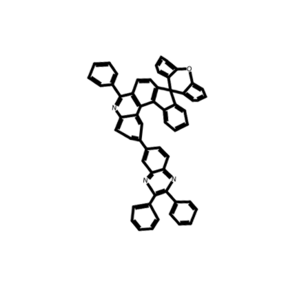 c1ccc(-c2nc3ccc(-c4ccc5nc(-c6ccccc6)c6ccc7c(c6c5c4)-c4ccccc4C74c5ccccc5Oc5ccccc54)cc3nc2-c2ccccc2)cc1